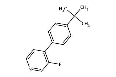 CC(C)(C)c1ccc(-c2ccncc2F)cc1